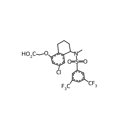 CN(C1CCCc2c(OCC(=O)O)cc(Cl)cc21)S(=O)(=O)c1cc(C(F)(F)F)cc(C(F)(F)F)c1